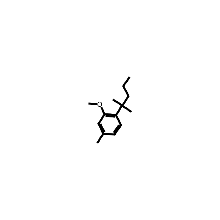 CCCC(C)(C)c1ccc(C)cc1OC